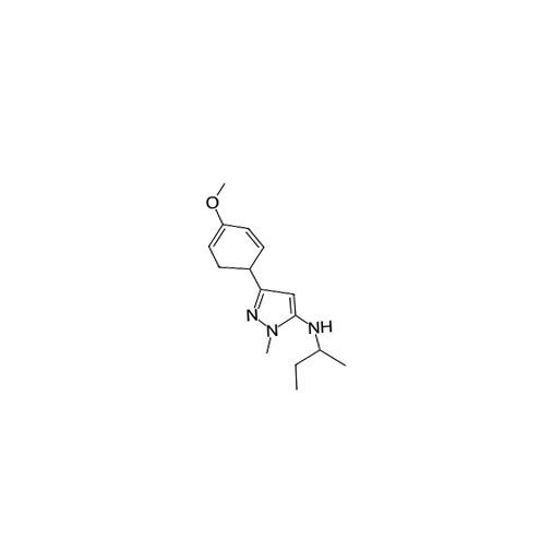 CCC(C)Nc1cc(C2C=CC(OC)=CC2)nn1C